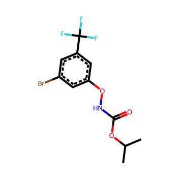 CC(C)OC(=O)NOc1cc(Br)cc(C(F)(F)F)c1